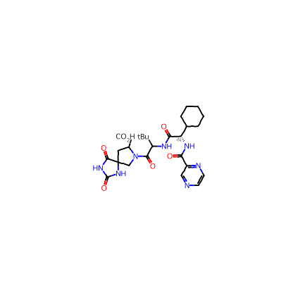 CC(C)(C)C(NC(=O)[C@@H](NC(=O)c1cnccn1)C1CCCCC1)C(=O)N1CC2(CC1C(=O)O)NC(=O)NC2=O